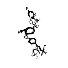 CCn1nc(C(F)(F)F)cc1-c1ccc(Oc2ccc(S(=O)(=O)Nc3ncc(F)cn3)cc2C#N)cc1